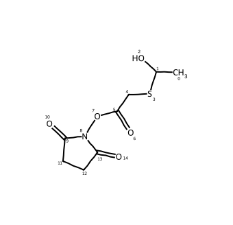 CC(O)SCC(=O)ON1C(=O)CCC1=O